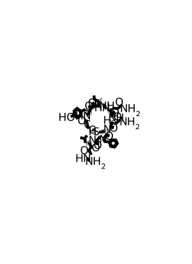 CC[C@H](C)C1NN[C@@H](CCC(N)=O)C(=O)N[C@@H](CC(N)=O)C(=O)N[C@H](C(=O)N(CC(=O)N[C@@H](CC(C)C)C(=O)C(=O)CNN)Cc2ccccc2)CSCCCC(=O)N[C@@H](Cc2ccc(O)cc2)C(=O)C1=O